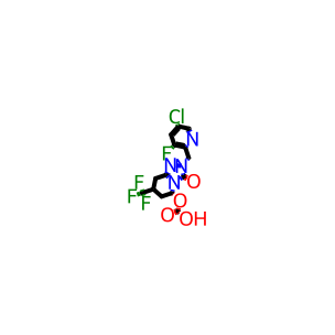 O=C(O)OC1CC(C(F)(F)F)Cc2nn(Cc3ncc(Cl)cc3F)c(=O)n21